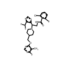 Cc1c(F)ncnc1OCC1CCN(C(CNC(=O)c2c(F)cccc2Cl)c2scnc2C(F)F)CC1